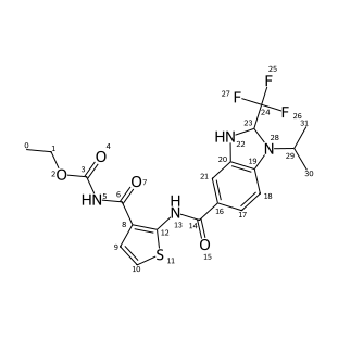 CCOC(=O)NC(=O)c1ccsc1NC(=O)c1ccc2c(c1)NC(C(F)(F)F)N2C(C)C